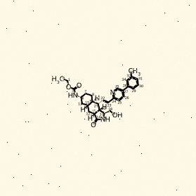 CCOC(=O)N[C@@H]1CC[C@@H]2[C@@H](C1)C[C@H]1C(=O)N[C@H](CO)[C@H]1[C@H]2/C=C/c1ccc(-c2cccc(C)c2)cn1